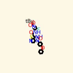 CC(C)(C)OC(=O)N1C[C@H](NC(=O)c2sc3nccc4c3c2NC(=O)N4c2ccc(Oc3ccccc3)cc2)[C@@H](F)C1